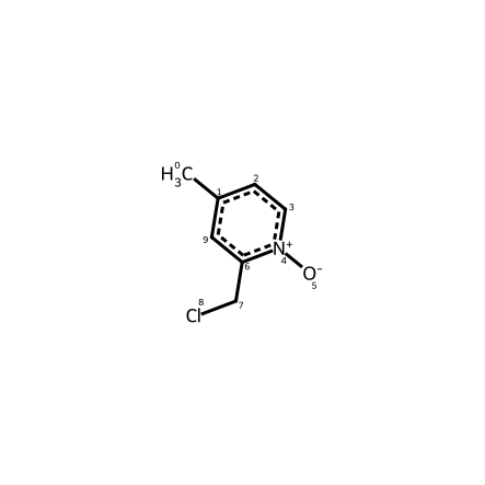 Cc1cc[n+]([O-])c(CCl)c1